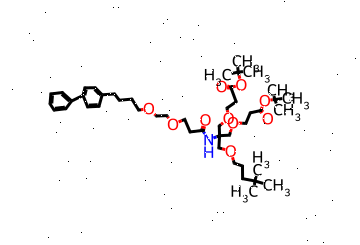 CC(C)(C)CCCOCC(COCCC(=O)OC(C)(C)C)(COCCC(=O)OC(C)(C)C)NC(=O)CCOCCOCCCCc1ccc(-c2ccccc2)cc1